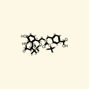 CC(C)(C)OC(=O)N(Cc1ccc(C(=O)O)cc1)CC(O[Si](C)(C)C(C)(C)C)c1ccc(O)c2[nH]c(=O)ccc12